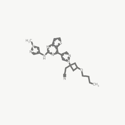 CCCCOC1CC(CC#N)(n2cc(-c3nc(Nc4cnn(C)c4)nc4ccsc34)cn2)C1